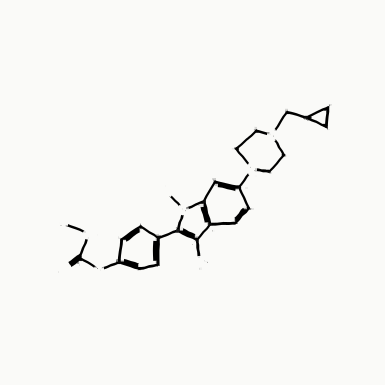 CCn1c(-c2ccc(NC(=O)OC(C)(C)C)cc2)c(C#N)c2ccc(N3CCN(CC4CC4)CC3)cc21